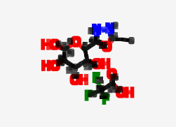 Cc1nnc(C2O[C@H](O)[C@H](O)[C@@H](O)[C@@H]2O)o1.O=C(O)C(F)(F)F